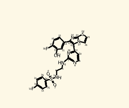 O=S(=O)(NCCNc1nccc(-c2c(-c3ccc(F)c(O)c3)nc3sccn23)n1)c1ccc(F)cc1